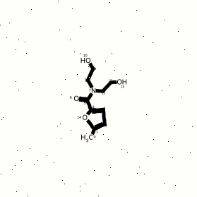 Cc1ccc(C(=O)N(CCO)CCO)o1